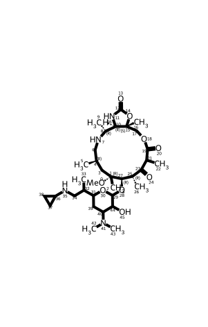 CO[C@]1(C)C[C@@H](C)CN[C@H](C)[C@H]2NC(=O)O[C@]2(C)COC(=O)C(C)C(=O)[C@H](C)[C@H]1OC1OC(C(C)CNC2CC2)CC(N(C)C)C1O